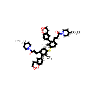 CCOC(=O)C1CCN(C(=O)/C=C/c2ccc(Sc3ccc(/C=C/C(=O)N4CCC(C(=O)OCC)CC4)c(-c4ccc5c(c4)CCOO5)c3C(F)(F)F)c(C(F)(F)F)c2-c2ccc3c(c2)CCOO3)CC1